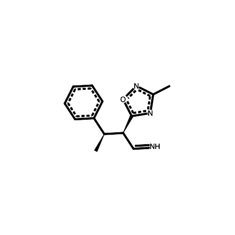 Cc1noc([C@@H](C=N)[C@@H](C)c2ccccc2)n1